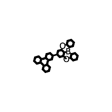 c1ccc2c(c1)Oc1cc(-c3ccc4c5ccccc5c5ccccc5c4c3)cc3c1B2c1ccccc1O3